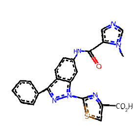 Cn1cncc1C(=O)Nc1ccc2c(-c3ccccc3)nn(-c3nc(C(=O)O)cs3)c2c1